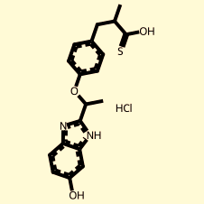 CC(Cc1ccc(OC(C)c2nc3ccc(O)cc3[nH]2)cc1)C(O)=S.Cl